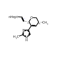 CCCCCCC/C=C/[C@@H]1OC[C@H](C)C=C1c1c[nH]c(C)n1